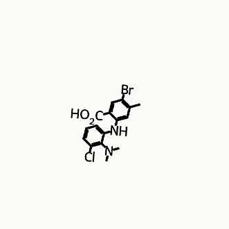 Cc1cc(Nc2cccc(Cl)c2N(C)C)c(C(=O)O)cc1Br